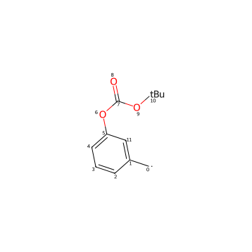 [CH2]c1cccc(OC(=O)OC(C)(C)C)c1